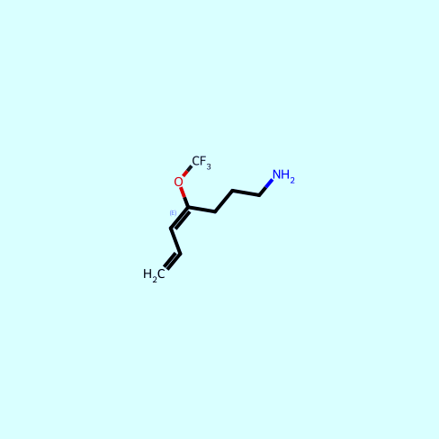 C=C/C=C(\CCCN)OC(F)(F)F